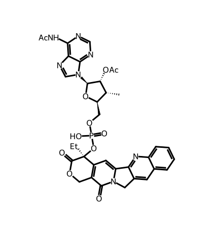 CC[C@@]1(OP(=O)(O)OC[C@H]2O[C@@H](n3cnc4c(NC(C)=O)ncnc43)[C@H](OC(C)=O)[C@@H]2C)C(=O)OCc2c1cc1n(c2=O)Cc2cc3ccccc3nc2-1